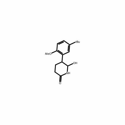 COc1ccc(C(C)(C)C)cc1C1CCC(=O)NC1O